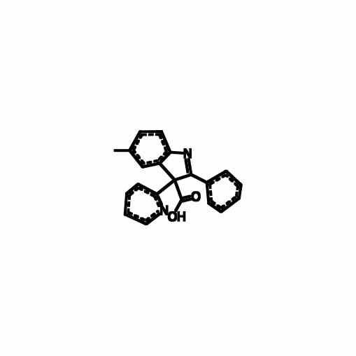 Cc1ccc2c(c1)C(C(=O)O)(c1ccccn1)C(c1ccccc1)=N2